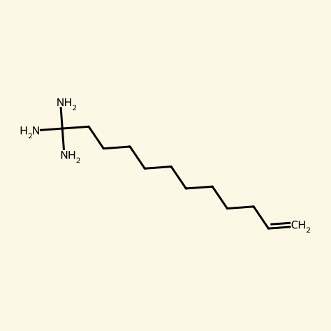 C=CCCCCCCCCCC(N)(N)N